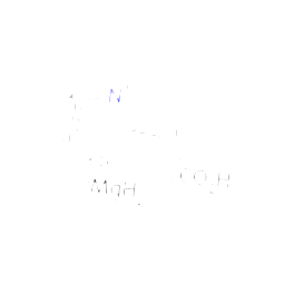 O=C(O)Cc1nccs1.[MgH2]